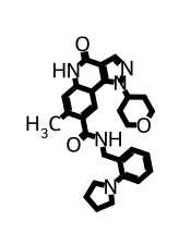 CC1=CC2NC(=O)c3cnn(C4CCOCC4)c3C2C=C1C(=O)NCc1ccccc1N1CCCC1